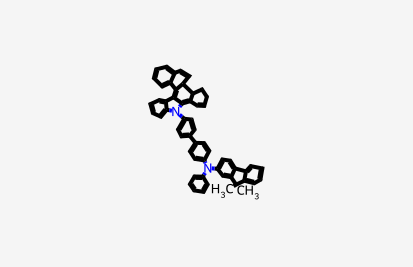 CC1(C)c2ccccc2-c2ccc(N(c3ccccc3)c3ccc(-c4ccc(-n5c6c(c7ccccc75)=C5c7ccccc7C=CC5C5CCC=CC=65)cc4)cc3)cc21